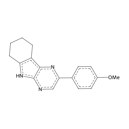 COc1ccc(-c2cnc3[nH]c4c(c3n2)CCCC4)cc1